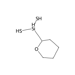 S[SiH](S)C1CCCCO1